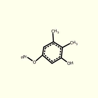 CCCOc1cc(C)c(C)c(O)c1